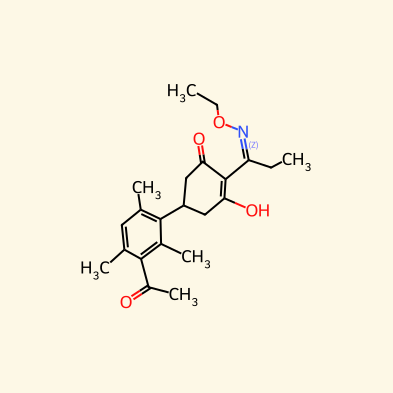 CCO/N=C(/CC)C1=C(O)CC(c2c(C)cc(C)c(C(C)=O)c2C)CC1=O